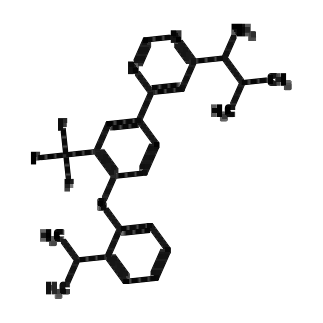 CC(C)c1ccccc1Sc1ccc(-c2cc(C(N)C(C)C)ncn2)cc1C(F)(F)F